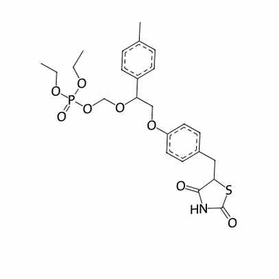 CCOP(=O)(OCC)OCOC(COc1ccc(CC2SC(=O)NC2=O)cc1)c1ccc(C)cc1